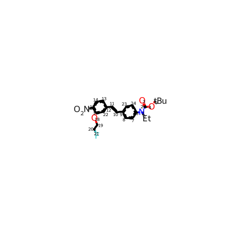 CCN(C(=O)OC(C)(C)C)c1ccc(/C=C/c2ccc([N+](=O)[O-])c(OCCF)c2)cc1